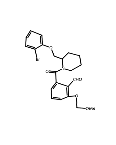 COCOc1cccc(C(=O)N2CCCCC2COc2ccccc2Br)c1C=O